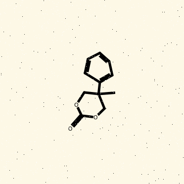 CC1(c2ccccc2)COC(=O)OC1